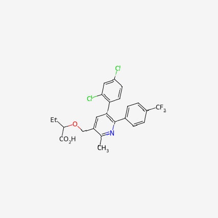 CCC(OCc1cc(-c2ccc(Cl)cc2Cl)c(-c2ccc(C(F)(F)F)cc2)nc1C)C(=O)O